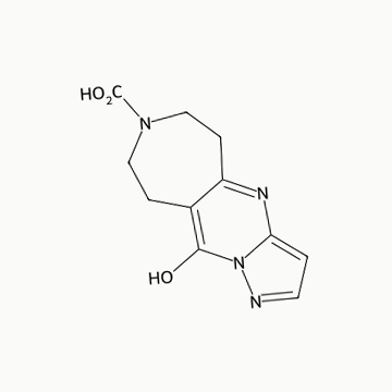 O=C(O)N1CCc2nc3ccnn3c(O)c2CC1